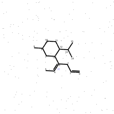 C=CC/C(=C/C)C1CC(C)CCC1C(C)C